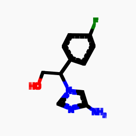 Nc1cn(C(CO)c2ccc(F)cc2)cn1